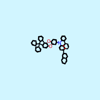 C1=CC(c2ccccc2N(c2ccc(-c3ccc4ccccc4c3)cc2)c2ccc3c(c2)Oc2ccc4c(c2O3)-c2ccccc2C4(c2ccccc2)c2ccccc2)=CCC1